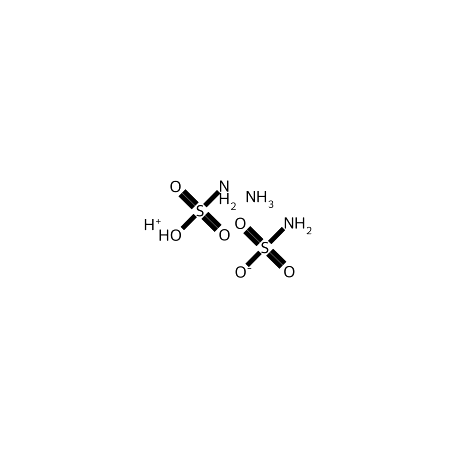 N.NS(=O)(=O)O.NS(=O)(=O)[O-].[H+]